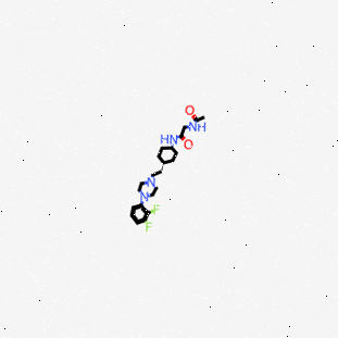 CC(=O)NCC(=O)N[C@H]1CC[C@H](CCN2CCN(c3cccc(F)c3F)CC2)CC1